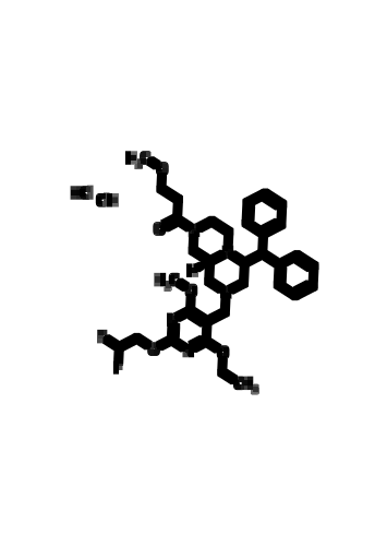 CCOc1nc(OCC(F)F)nc(OC)c1CN1CC(C(c2ccccc2)c2ccccc2)N2CCN(C(=O)CCOC)C[C@H]2C1.Cl.Cl